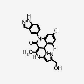 CC1=C(C(=O)Nc2ccc3[nH]ncc3c2)C(c2ccc(Cl)cc2F)n2nc(CO)cc2N1